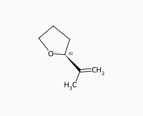 C=C(C)[C@@H]1CCCO1